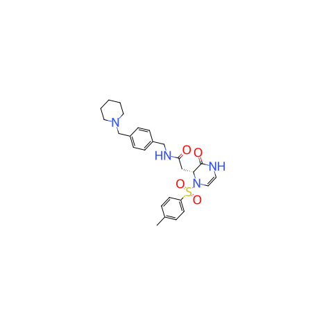 Cc1ccc(S(=O)(=O)N2C=CNC(=O)[C@H]2CC(=O)NCc2ccc(CN3CCCCC3)cc2)cc1